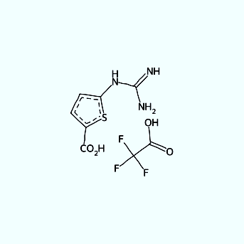 N=C(N)Nc1ccc(C(=O)O)s1.O=C(O)C(F)(F)F